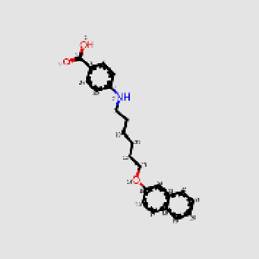 O=C(O)c1ccc(NCCCCCCOc2ccc3ccccc3c2)cc1